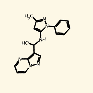 Cc1cc(NC(O)c2cnn3cccnc23)n(-c2ccccc2)n1